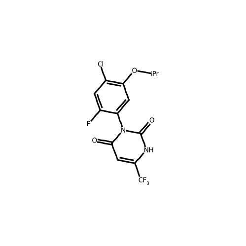 CC(C)Oc1cc(-n2c(=O)cc(C(F)(F)F)[nH]c2=O)c(F)cc1Cl